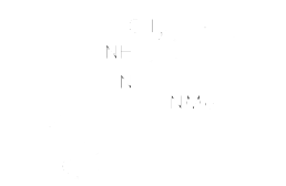 C=CNCC(Cc1ccc2ccccc2c1)CN(CCNC)Cc1ccc(-c2ccccc2)cc1